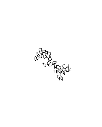 CC1(C)C2=C(N=C(c3cccnc3)NC2c2ccc(-c3ccc4c(c3)C(C)(C)c3cc(-c5ccc(-c6nc(-c7ccccn7)nc7c6C(C)(C)c6ccccc6-7)cc5)ccc3-4)cc2)c2ccccc21